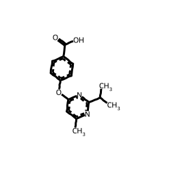 Cc1cc(Oc2ccc(C(=O)O)cc2)nc(C(C)C)n1